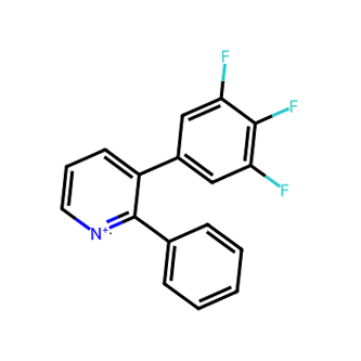 Fc1cc(C2=CC=C[N+]=C2c2ccccc2)cc(F)c1F